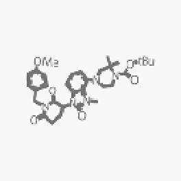 COc1ccc(CN2C(=O)CCC(n3c(=O)n(C)c4c(N5CCN(C(=O)OC(C)(C)C)C(C)(C)C5)cccc43)C2=O)cc1